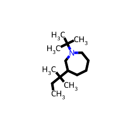 CCC(C)(C)C1CCCCN(C(C)(C)C)C1